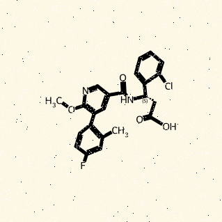 COc1ncc(C(=O)N[C@@H](CC(=O)O)c2ccccc2Cl)cc1-c1ccc(F)cc1C